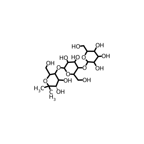 CC1(C)OC(CO)C(OC2OC(CO)C(OC3OC(CO)C(O)C(O)C3O)C(O)C2O)C(O)[C@@H]1O